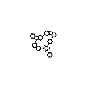 c1ccc(-c2nc(-c3ccccc3)nc(-c3ccc(-c4cccc5oc6ccc(-c7ccc8c(c7)c7ccccc7n8-c7ccccc7)cc6c45)cc3)n2)cc1